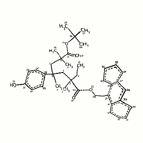 CCC(C)(CC(C)(CC(C)(C)C(=O)OC(C)(C)C)c1ccc(O)cc1)C(=O)OCc1c2ccccc2cc2ccccc12